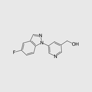 OCc1cncc(-n2ncc3cc(F)ccc32)c1